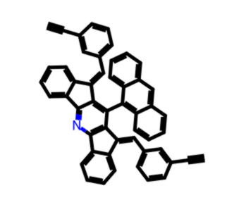 C#Cc1cccc(/C=C2\c3ccccc3-c3nc4c(c(-c5c6ccccc6cc6ccccc56)c32)/C(=C/c2cccc(C#C)c2)c2ccccc2-4)c1